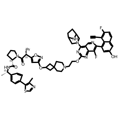 C#Cc1c(F)ccc2cc(O)cc(-c3ncc4c(N5CC6CCC(C5)N6)nc(OCCN5CCC6(CC5)CC(Oc5cc([C@@H](C(=O)N7CCC[C@H]7C(=O)N[C@@H](C)c7ccc(-c8scnc8C)cc7)C(C)C)on5)C6)nc4c3F)c12